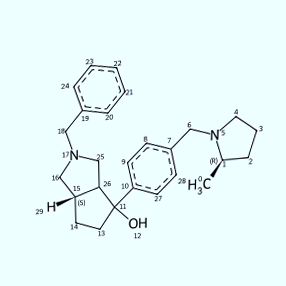 C[C@@H]1CCCN1Cc1ccc(C2(O)CC[C@@H]3CN(Cc4ccccc4)CC32)cc1